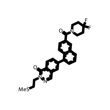 CSCCn1ncc2cc(-c3cccc4cc(C(=O)N5CCC(F)(F)CC5)ccc34)ccc2c1=O